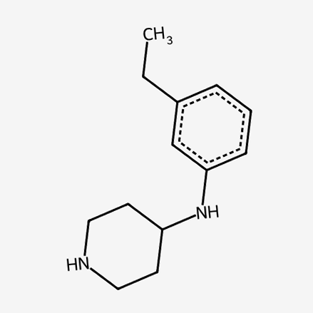 CCc1cccc(NC2CCNCC2)c1